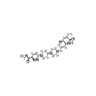 CCc1cc2ncc(CN3CCN(C4CCN(c5ccc(C(N)=O)nn5)CC4)CC3)cc2[nH]c1=O